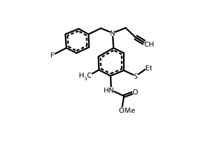 C#CCN(Cc1ccc(F)cc1)c1cc(C)c(NC(=O)OC)c(SCC)c1